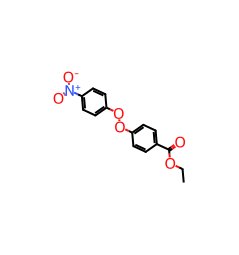 CCOC(=O)c1ccc(OOc2ccc([N+](=O)[O-])cc2)cc1